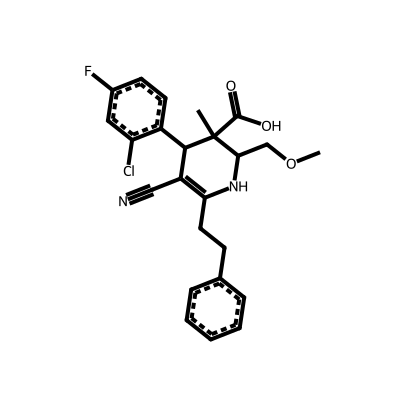 COCC1NC(CCc2ccccc2)=C(C#N)C(c2ccc(F)cc2Cl)C1(C)C(=O)O